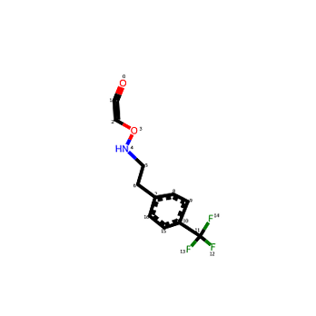 O=C=CONCCc1ccc(C(F)(F)F)cc1